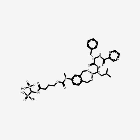 CC(C)C[C@H](NC(=O)[C@H](Cc1ccccc1)NC(=O)c1cnccn1)B1OCc2ccc(N(C)C(=O)OCCCC(=O)NC(P(=O)(O)O)P(=O)(O)O)cc2CO1